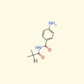 CCC(C)(C)C(=O)NC(=O)c1ccc(N)cc1